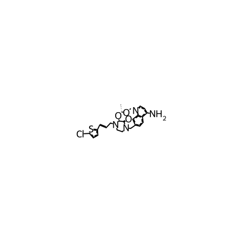 CO[C@@H](C)O[C@H]1C(=O)N(Cc2ccc3c(N)ccnc3c2)CCN1CC=Cc1ccc(Cl)s1